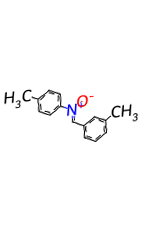 Cc1ccc([N+]([O-])=Cc2cccc(C)c2)cc1